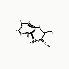 CC1Cc2ccccc2[N]C1=O